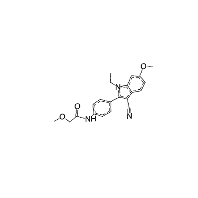 CCn1c(-c2ccc(NC(=O)COC)cc2)c(C#N)c2ccc(OC)cc21